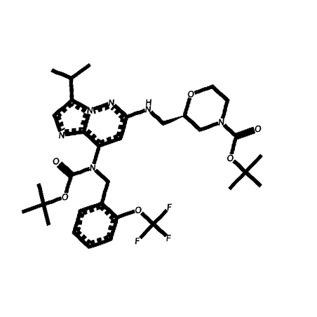 CC(C)c1cnc2c(N(Cc3ccccc3OC(F)(F)F)C(=O)OC(C)(C)C)cc(NC[C@@H]3CN(C(=O)OC(C)(C)C)CCO3)nn12